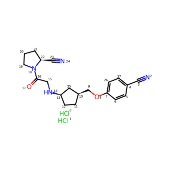 Cl.Cl.N#Cc1ccc(OC[C@H]2CC[C@@H](NCC(=O)N3CCC[C@H]3C#N)C2)cc1